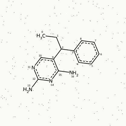 CCC(c1ccccc1)c1cnc(N)nc1N